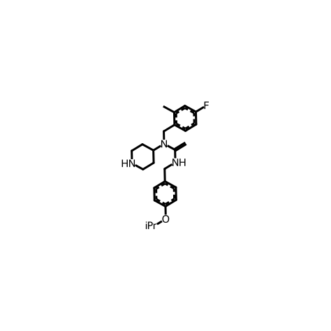 C=C(NCc1ccc(OC(C)C)cc1)N(Cc1ccc(F)cc1C)C1CCNCC1